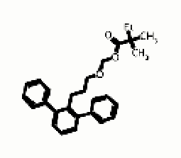 CCC(C)(C)C(=O)OCOCCCc1c(-c2ccccc2)cccc1-c1ccccc1